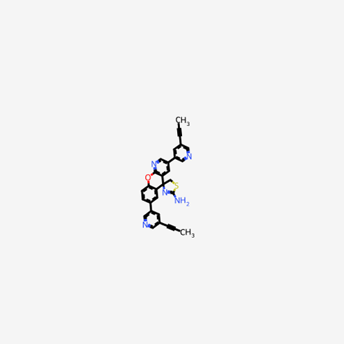 CC#Cc1cncc(-c2ccc3c(c2)C2(CSC(N)=N2)c2cc(-c4cncc(C#CC)c4)cnc2O3)c1